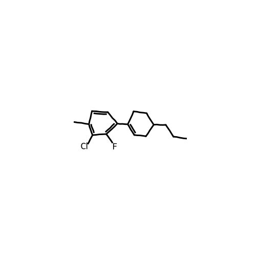 CCCC1CC=C(c2ccc(C)c(Cl)c2F)CC1